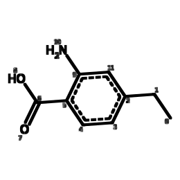 CCc1ccc(C(=O)O)c(N)c1